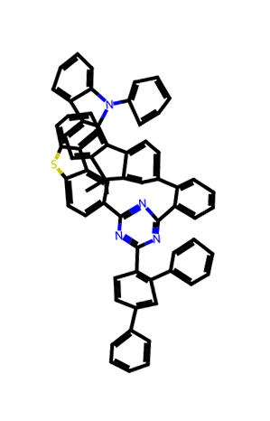 CC1(C)c2cc(-c3ccccc3-c3nc(-c4ccc5sc6ccccc6c5c4)nc(-c4ccc(-c5ccccc5)cc4-c4ccccc4)n3)ccc2-c2c1ccc1c3ccccc3n(-c3ccccc3)c21